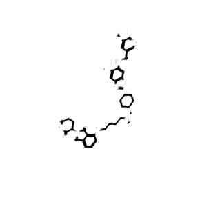 COc1cncc(C(=O)Nc2cc3sc([C@H]4CC[C@H](CN(C)CCCCNc5cccc6c5C(=O)N(C5CCC(=O)NC5=O)C6=O)CC4)nc3cc2OC)c1